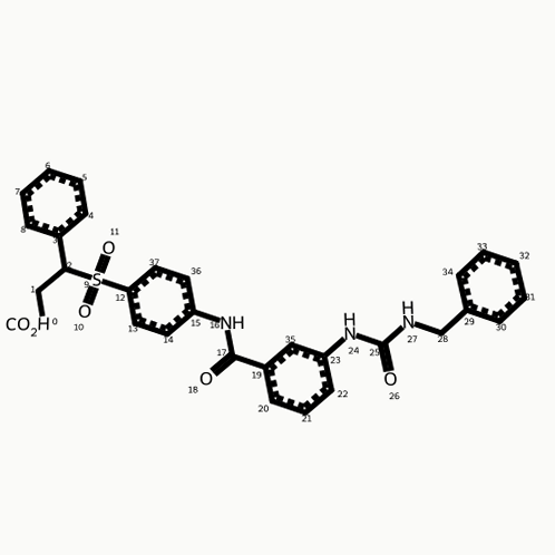 O=C(O)CC(c1ccccc1)S(=O)(=O)c1ccc(NC(=O)c2cccc(NC(=O)NCc3ccccc3)c2)cc1